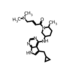 CC1CCC(Nc2ncnc3[nH]cc(CC4CC4)c23)CN1C(=O)/C=C/CN(C)C